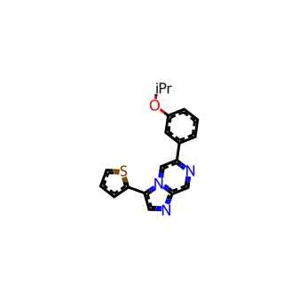 CC(C)Oc1cccc(-c2cn3c(-c4cccs4)cnc3cn2)c1